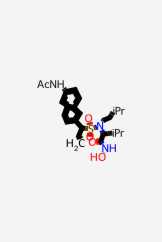 C=CC(c1ccc2cc(NC(C)=O)ccc2c1)S(=O)(=O)N(CCC(C)C)C(C(=O)NO)C(C)C